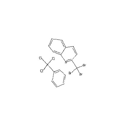 BrC(Br)(Br)c1ccc2ccccc2n1.ClC(Cl)(Cl)c1ccccc1